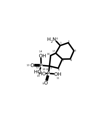 NC1CCCC2CC(P(=O)(O)O)(P(=O)(O)O)CC12